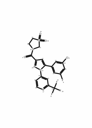 O=C(c1cc(-c2cc(F)cc(Cl)c2)n(-c2ccnc(C(F)(F)F)c2)n1)N1CCS(=O)(=O)C1